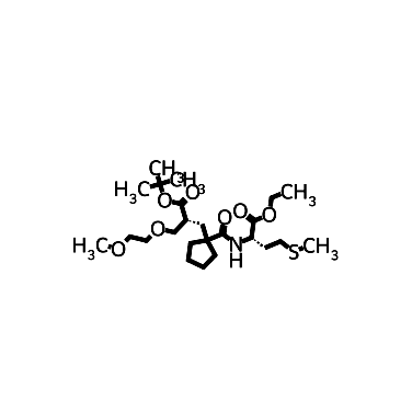 CCOC(=O)[C@H](CCSC)NC(=O)C1(C[C@H](COCCOC)C(=O)OC(C)(C)C)CCCC1